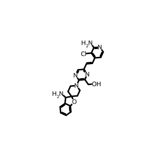 Nc1nccc(C=Cc2cnc(N3CCC4(CC3)Oc3ccccc3C4N)c(CO)n2)c1Cl